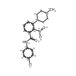 CN1CCN(c2cccc(C(=O)Nc3ccc(Cl)cc3)c2[N+](=O)[O-])CC1